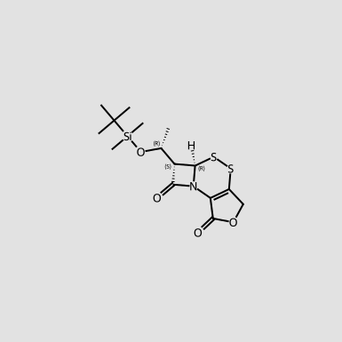 C[C@@H](O[Si](C)(C)C(C)(C)C)[C@H]1C(=O)N2C3=C(COC3=O)SS[C@H]12